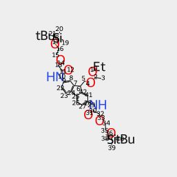 CCOC(C)OCC1c2cc(NC(=O)COCCO[Si](C)(C)C(C)(C)C)ccc2-c2ccc(NC(=O)COCCO[Si](C)(C)C(C)(C)C)cc21